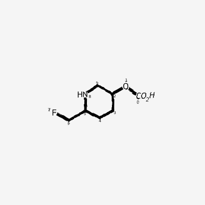 O=C(O)OC1CCC(CF)NC1